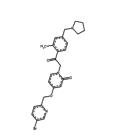 Cc1cc(CN2CCCC2)ccc1C(=O)Cn1ccc(OCc2ccc(Br)cn2)cc1=O